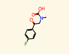 CN(CC(=O)c1ccc(F)cc1)C(=O)O